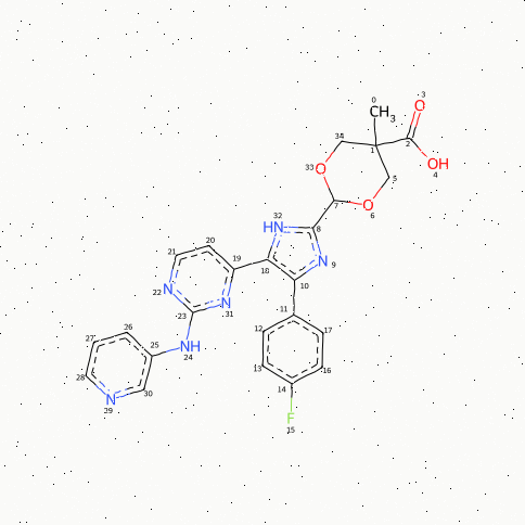 CC1(C(=O)O)COC(c2nc(-c3ccc(F)cc3)c(-c3ccnc(Nc4cccnc4)n3)[nH]2)OC1